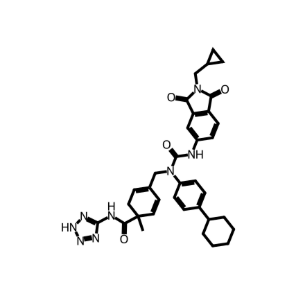 CC1(C(=O)Nc2nn[nH]n2)C=CC(CN(C(=O)Nc2ccc3c(c2)C(=O)N(CC2CC2)C3=O)c2ccc(C3CCCCC3)cc2)=CC1